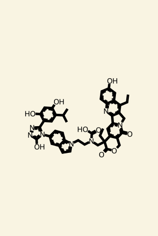 CCc1c2c(nc3ccc(O)cc13)-c1cc3c(c(=O)n1C2)COC(=O)C3(CC)CN(CCn1ccc2cc(-n3c(O)nnc3-c3cc(C(C)C)c(O)cc3O)ccc21)C(=O)O